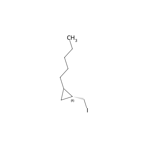 CCCCCC1C[C@H]1CI